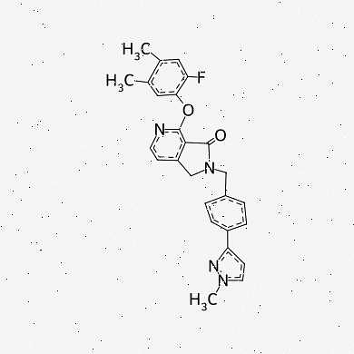 Cc1cc(F)c(Oc2nccc3c2C(=O)N(Cc2ccc(-c4ccn(C)n4)cc2)C3)cc1C